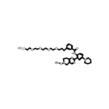 CC(C)(C)ON1CCc2nc(-c3cc(N4CCCCC4)ccc3NC(=O)c3cccc(CCCOCCOCCOCCOCCC(=O)O)c3)ncc2C1